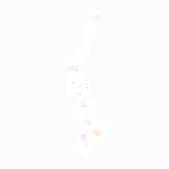 CC(C)(C)OC(=O)N1CCN(c2ccc(NCCCCCCCl)cc2)CC1